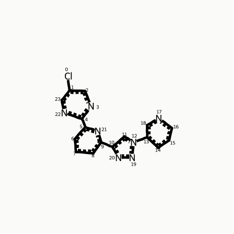 Clc1cnc(-c2cccc(-c3cn(-c4cccnc4)nn3)n2)nc1